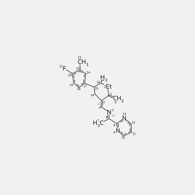 C=C(CC)/C(=C\N=C(/C)c1ncccn1)CC(C)c1ccc(F)c(C)c1